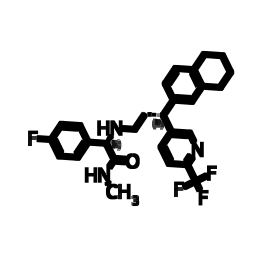 CNC(=O)[C@H](NCC[C@@H](c1ccc(C(F)(F)F)nc1)c1ccc2c(c1)CCCC2)c1ccc(F)cc1